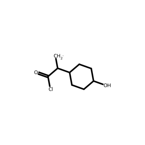 [CH2]C(C(=O)Cl)C1CCC(O)CC1